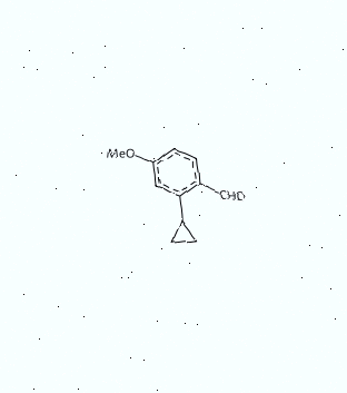 COc1ccc(C=O)c(C2CC2)c1